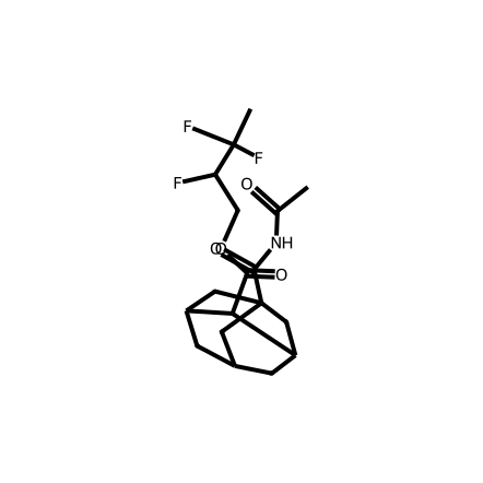 CC(=O)NC(=O)C12CC3CC(C1)C(C(=O)OCC(F)C(C)(F)F)C(C3)C2